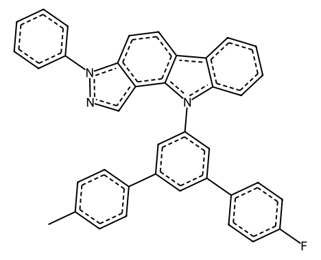 Cc1ccc(-c2cc(-c3ccc(F)cc3)cc(-n3c4ccccc4c4ccc5c(cnn5-c5ccccc5)c43)c2)cc1